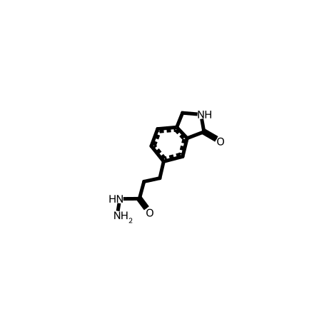 NNC(=O)CCc1ccc2c(c1)C(=O)NC2